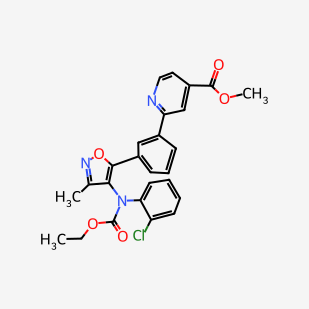 CCOC(=O)N(c1ccccc1Cl)c1c(C)noc1-c1cccc(-c2cc(C(=O)OC)ccn2)c1